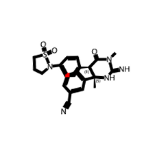 CN1C(=N)N[C@](C)(c2cccc(C#N)c2)[C@@H](c2ccc(N3CCCS3(=O)=O)cc2)C1=O